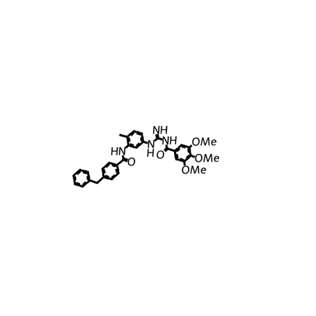 COc1cc(C(=O)NC(=N)Nc2ccc(C)c(NC(=O)c3ccc(Cc4ccccc4)cc3)c2)cc(OC)c1OC